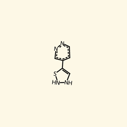 C1=C(c2ccnnc2)SNN1